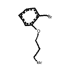 BrCCCOc1cc[c]cc1Br